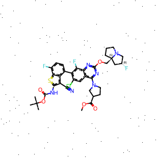 COC(=O)C1CCN(c2nc(OC[C@@]34CCCN3C[C@H](F)C4)nc3c(F)c(-c4ccc(F)c5sc(NC(=O)OC(C)(C)C)c(C#N)c45)c(Cl)cc23)C1